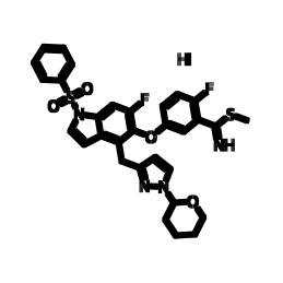 CSC(=N)c1cc(Oc2c(F)cc3c(ccn3S(=O)(=O)c3ccccc3)c2Cc2ccn(C3CCCCO3)n2)ccc1F.I